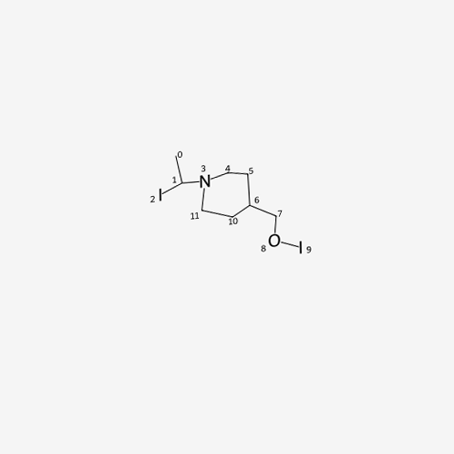 CC(I)N1CCC(COI)CC1